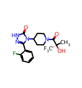 C[C@@](O)(C(=O)N1CCC(n2c(-c3ccccc3F)n[nH]c2=O)CC1)C(F)(F)F